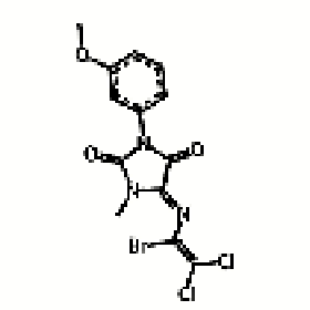 COc1cccc(N2C(=O)C(=NC(Br)=C(Cl)Cl)N(C)C2=O)c1